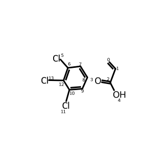 C=CC(=O)O.Clc1cccc(Cl)c1Cl